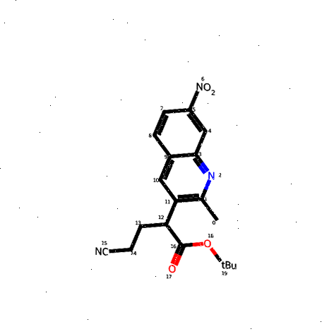 Cc1nc2cc([N+](=O)[O-])ccc2cc1C(CCC#N)C(=O)OC(C)(C)C